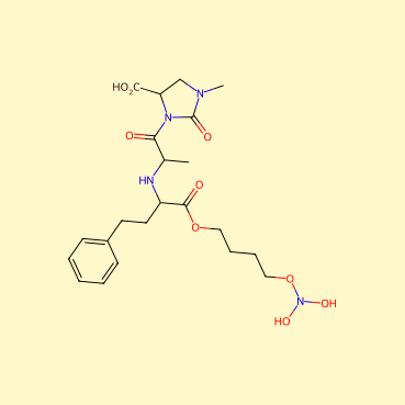 CC(NC(CCc1ccccc1)C(=O)OCCCCON(O)O)C(=O)N1C(=O)N(C)CC1C(=O)O